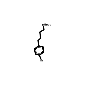 [CH2]CCCCCCCCCCc1ccc(Br)cc1